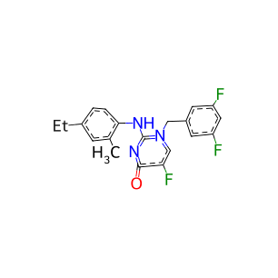 CCc1ccc(Nc2nc(=O)c(F)cn2Cc2cc(F)cc(F)c2)c(C)c1